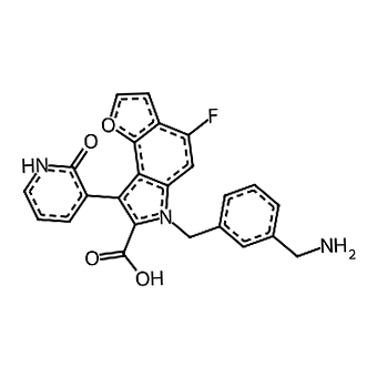 NCc1cccc(Cn2c(C(=O)O)c(-c3ccc[nH]c3=O)c3c4occc4c(F)cc32)c1